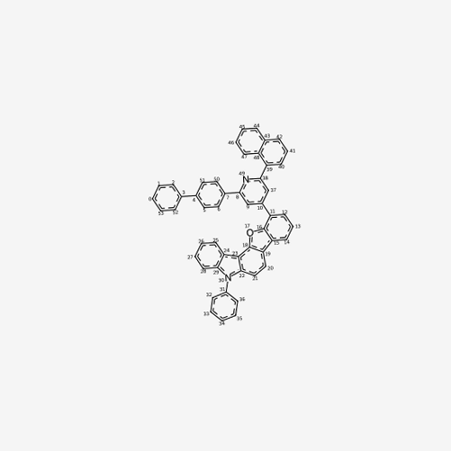 c1ccc(-c2ccc(-c3cc(-c4cccc5c4oc4c5ccc5c4c4ccccc4n5-c4ccccc4)cc(-c4cccc5ccccc45)n3)cc2)cc1